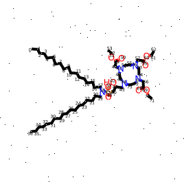 CCCCCCCCCCCCCCCCCCN(CCCCCCCCCCCCCCCCCC)S(=O)(=O)CC(O)CN1CCN(CC(=O)OCC)CCN(CC(=O)OCC)CCN(CC(=O)OCC)CC1